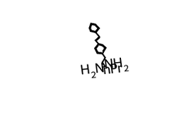 CCCC(N)(N)CCc1ccc(C=Cc2ccccc2)cc1